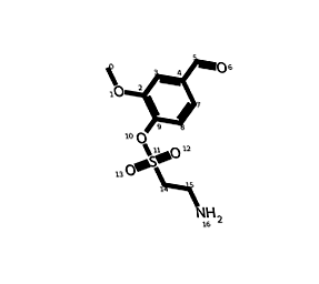 COc1cc(C=O)ccc1OS(=O)(=O)CCN